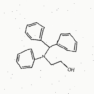 OCCN(c1ccccc1)C(c1ccccc1)c1ccccc1